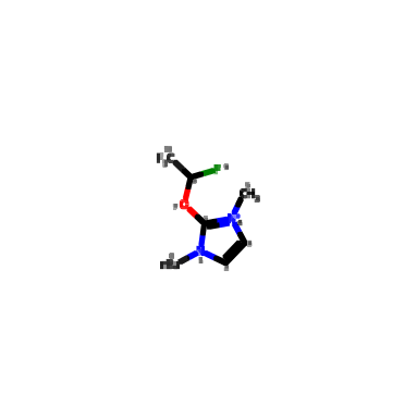 CCCCn1cc[n+](C)c1OC(F)C(F)(F)F